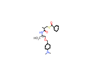 CC(CSC(=O)c1ccccc1)C(=O)N[C@@H](COCc1ccc(N(C)C)cc1)C(=O)O